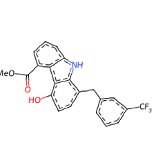 COC(=O)c1cccc2[nH]c3c(Cc4cccc(C(F)(F)F)c4)ccc(O)c3c12